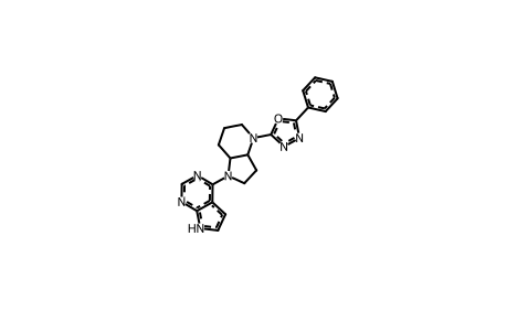 c1ccc(-c2nnc(N3CCCC4C3CCN4c3ncnc4[nH]ccc34)o2)cc1